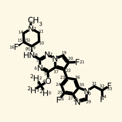 [2H]C([2H])([2H])Oc1nc(N[C@@H]2CCN(C)C[C@@H]2F)nn2cc(F)c(-c3cc(F)c4ncn(CC(F)F)c4c3)c12